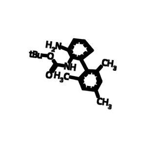 Cc1cc(C)c(-c2cccc(N)c2NC(=O)OC(C)(C)C)c(C)c1